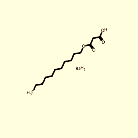 CCCCCCCCCCCOC(=O)CC(=O)O.[BaH2]